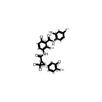 O=C(Nc1ccc(F)cc1F)c1c(Cl)ccc(NC(=O)C2[C@H](c3ccc(F)c(Cl)c3)C2(Cl)Cl)c1F